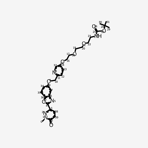 Cn1nc(-c2nc3cc(OCc4ccc(OCCOCCOCCNC(=O)OC(C)(C)C)cn4)ccc3o2)ccc1=O